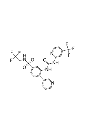 O=C(Nc1cc(C(F)(F)F)ccn1)Nc1cc(S(=O)(=O)NCC(F)(F)F)ccc1-c1cccnc1